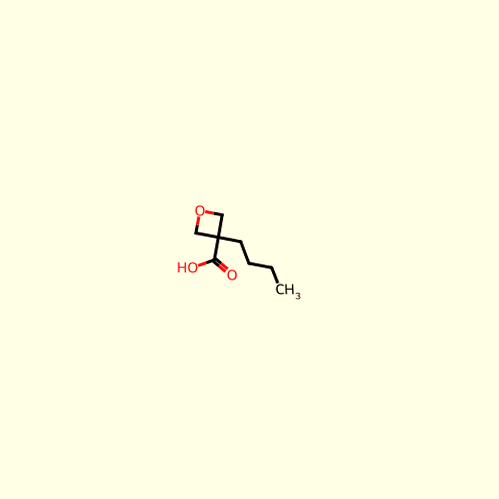 CCCCC1(C(=O)O)COC1